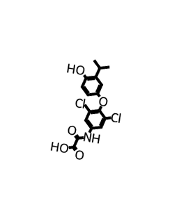 CC(C)c1cc(Oc2c(Cl)cc(NC(=O)C(=O)O)cc2Cl)ccc1O